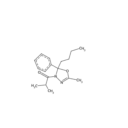 CCCCC1(c2ccccc2)OC(C)=NN1C(=O)C(C)C